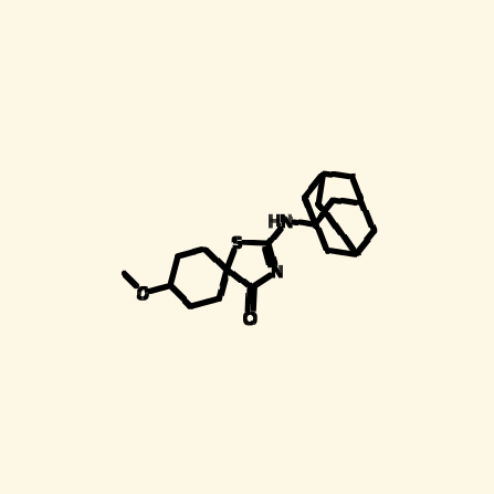 COC1CCC2(CC1)SC(NC13CC4CC(CC(C4)C1)C3)=NC2=O